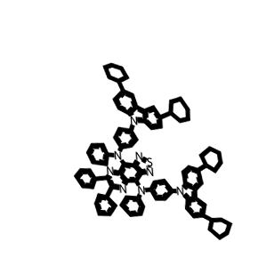 c1ccc(-c2nc3c(N(c4ccccc4)c4ccc(-n5c6ccc(C7CCCCC7)cc6c6cc(C7CCCCC7)ccc65)cc4)c4nsnc4c(N(c4ccccc4)c4ccc(-n5c6ccc(C7CCCCC7)cc6c6cc(C7CCCCC7)ccc65)cc4)c3nc2-c2ccccc2)cc1